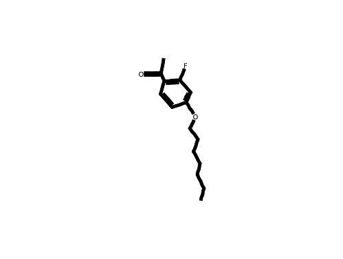 CCCCCCCOc1ccc(C(C)=O)c(F)c1